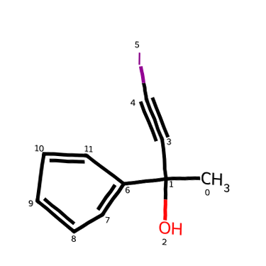 CC(O)(C#CI)c1ccccc1